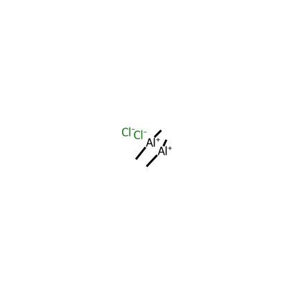 [CH3][Al+][CH3].[CH3][Al+][CH3].[Cl-].[Cl-]